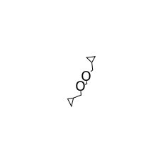 C(OCC1CC1)OCC1CC1